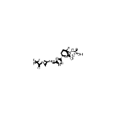 O=C1N2C[C@H](CC[C@H]2c2nnc(CNC3CN(C(=O)C(F)(F)F)C3)o2)N1OS(=O)(=O)O